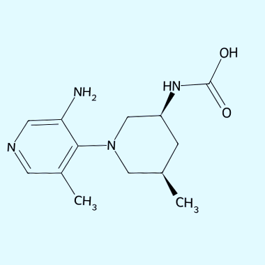 Cc1cncc(N)c1N1C[C@H](C)C[C@H](NC(=O)O)C1